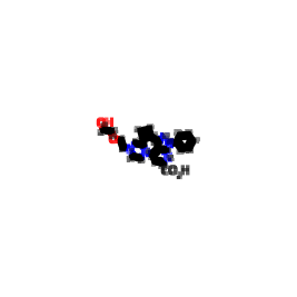 O=C(O)c1cc(N2CCN(CCOCCO)CC2)c2c(C3CCC3)nn(-c3ccccc3)c2n1